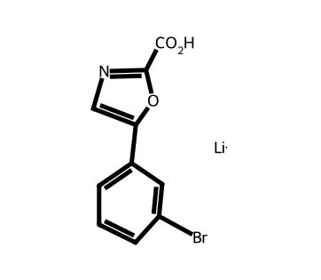 O=C(O)c1ncc(-c2cccc(Br)c2)o1.[Li]